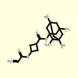 C=CC(=O)OC1CC(C(=O)OC23CC4(C)CC(O)(CC(O)(C4)C2C)C3)C1